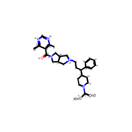 COC(C=O)N1CCC(C(CCN2CC3CN(C(=O)c4c(C)ncnc4C)CC3C2)c2ccccc2)CC1